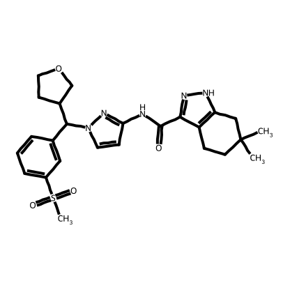 CC1(C)CCc2c(C(=O)Nc3ccn(C(c4cccc(S(C)(=O)=O)c4)C4CCOC4)n3)n[nH]c2C1